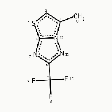 Cc1[c]sc2nc(C(F)(F)F)nn12